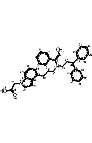 CC=C(c1ccccc1)N(CCCc1cccc2c1ccn2CC(=O)O)CCC(c1ccccc1)c1ccccc1